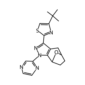 CC(C)(C)c1csc(-c2nn(-c3cnccn3)c3c2CC2CCC3O2)n1